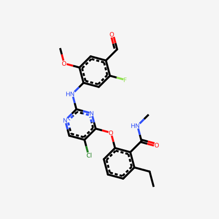 CCc1cccc(Oc2nc(Nc3cc(F)c(C=O)cc3OC)ncc2Cl)c1C(=O)NC